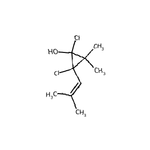 CC(C)=CC1(Cl)C(C)(C)C1(O)Cl